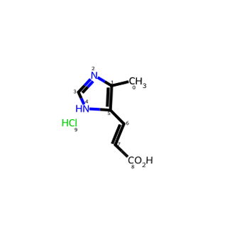 Cc1nc[nH]c1C=CC(=O)O.Cl